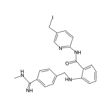 CNC(=N)c1ccc(CNc2ccccc2C(=O)Nc2ccc(CI)cn2)cc1